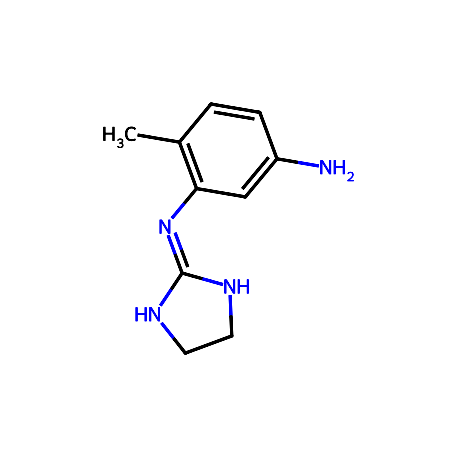 Cc1ccc(N)cc1N=C1NCCN1